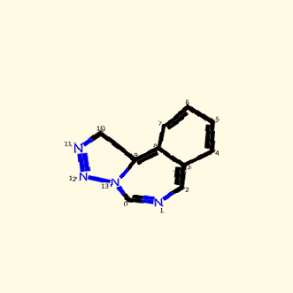 C1=NC=c2ccccc2=C2CN=NN12